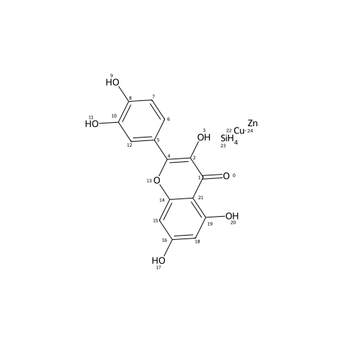 O=c1c(O)c(-c2ccc(O)c(O)c2)oc2cc(O)cc(O)c12.[Cu].[SiH4].[Zn]